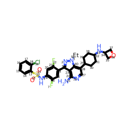 CCn1nc(-c2cc(F)c(NS(=O)(=O)c3ccccc3Cl)cc2F)c2c(N)ncc(C3CCC(NC4COC4)CC3)c21